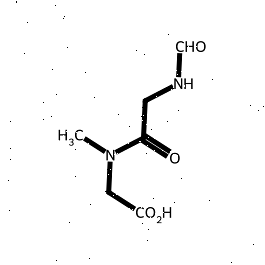 CN(CC(=O)O)C(=O)CNC=O